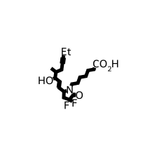 CCC#CCC(C)C(O)/C=C/C1CC(F)(F)C(=O)N1CCCCCCC(=O)O